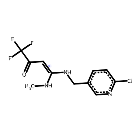 CN/C(=C\C(=O)C(F)(F)F)NCc1ccc(Cl)nc1